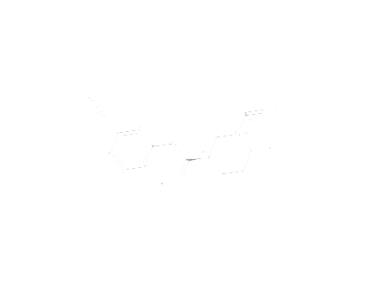 C[C@@H]1CC[C@@H](C(=O)Nc2cc(C#N)ccc2O)CN1C(=O)O